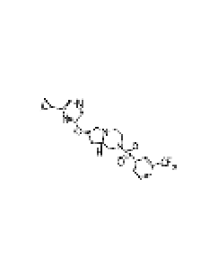 O=S(=O)(c1cccc(C(F)(F)F)c1)N1CCN2C[C@H](Oc3cncc(C4CC4)n3)C[C@H]2C1